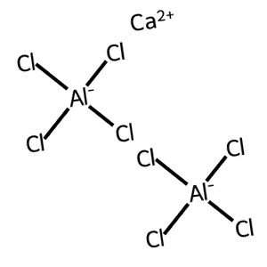 [Ca+2].[Cl][Al-]([Cl])([Cl])[Cl].[Cl][Al-]([Cl])([Cl])[Cl]